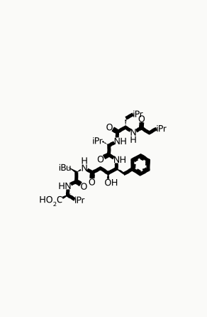 CC[C@H](C)[C@H](NC(=O)C[C@H](O)[C@H](Cc1ccccc1)NC(=O)[C@@H](NC(=O)[C@H](CC(C)C)NC(=O)CC(C)C)C(C)C)C(=O)N[C@H](C(=O)O)C(C)C